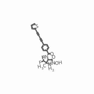 CC(N)(C(F)F)C(NC(=O)c1ccc(C#CC#Cc2cccs2)cc1)C(=O)NO